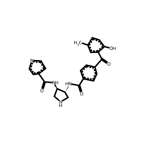 Cc1ccc(O)c(C(=O)c2ccc(C(=O)N[C@@H]3CNC[C@H]3NC(=O)c3ccncc3)cc2)c1